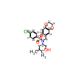 CC(C)C[C@H](CO)N(Cc1ccc2c(c1)OCCO2)S(=O)(=O)c1ccc(Cl)cc1